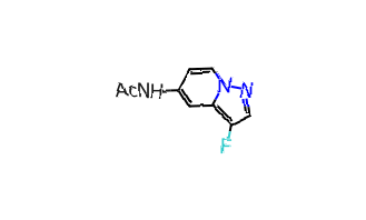 CC(=O)Nc1ccn2ncc(F)c2c1